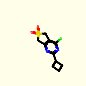 O=S1(=O)Cc2nc(C3CCC3)nc(Cl)c2C1